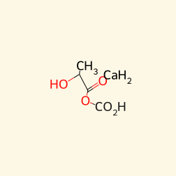 CC(O)C(=O)OC(=O)O.[CaH2]